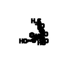 CCOC(=O)ON1CCN(C(=O)[C@H](CCC(=O)O)NC(=O)c2cc(OCCCCO)n(-c3ccccc3)n2)CC1